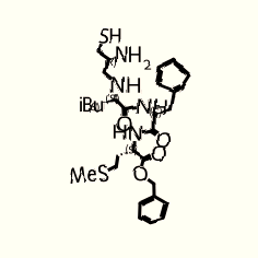 CC[C@H](C)[C@H](NC[C@@H](N)CS)C(=O)N[C@@H](Cc1ccccc1)C(=O)N[C@@H](CCSC)C(=O)OCc1ccccc1